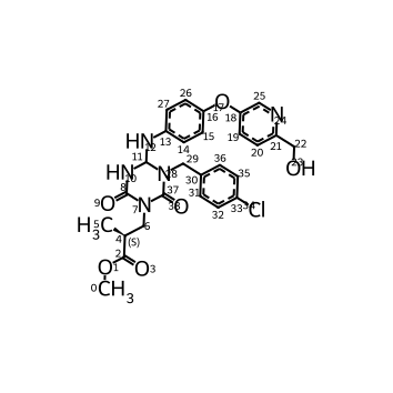 COC(=O)[C@@H](C)CN1C(=O)NC(Nc2ccc(Oc3ccc(CO)nc3)cc2)N(Cc2ccc(Cl)cc2)C1=O